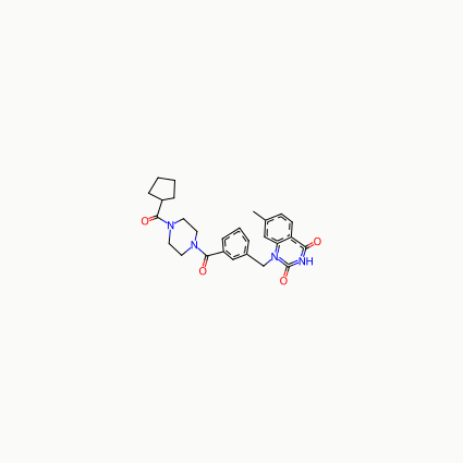 Cc1ccc2c(=O)[nH]c(=O)n(Cc3cccc(C(=O)N4CCN(C(=O)C5CCCC5)CC4)c3)c2c1